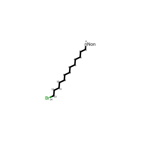 CCCCCCCCCCCCCCCCCCCCC[CH]Br